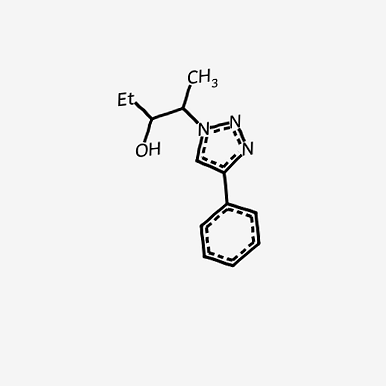 CCC(O)C(C)n1cc(-c2ccccc2)nn1